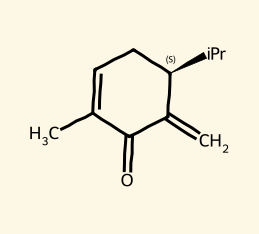 C=C1C(=O)C(C)=CC[C@H]1C(C)C